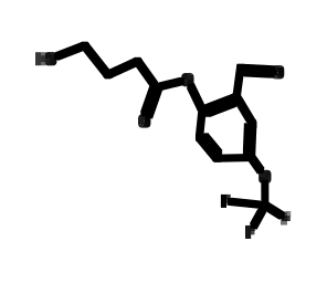 O=Cc1cc(OC(F)(F)F)ccc1OC(=O)CCCO